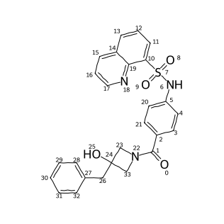 O=C(c1ccc(NS(=O)(=O)c2cccc3cccnc23)cc1)N1CC(O)(Cc2ccccc2)C1